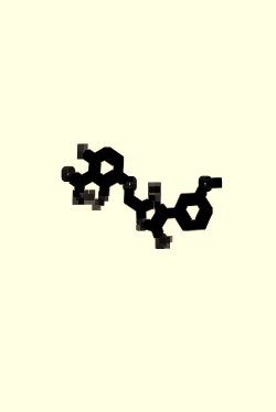 COc1cccc(C2=C(Br)SC(COc3ccc(F)c(C(N)=O)c3F)N2)c1